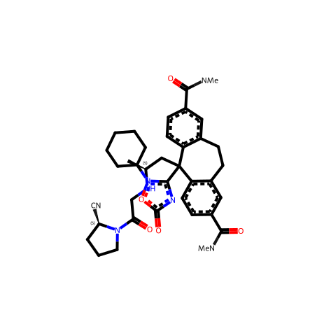 CNC(=O)c1ccc2c(c1)CCc1cc(C(=O)NC)ccc1C2(C[C@H](C)NCC(=O)N1CCC[C@H]1C#N)c1nc(=O)on1C1CCCCC1